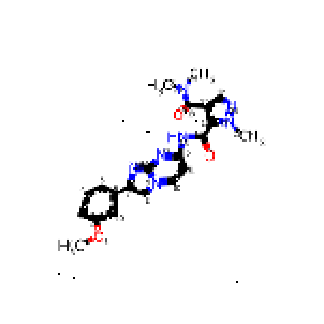 COc1cccc(-c2cn3ccc(NC(=O)c4c(C(=O)N(C)C)cnn4C)nc3n2)c1